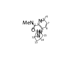 CNC(=O)c1nc(C)ccc1N1CC2CC(C1)N2